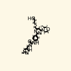 C[C@H]1COCCN1c1cc(CSCCO)nc(-c2ccc(NC(=O)NCc3cnn(C)c3)cc2)n1